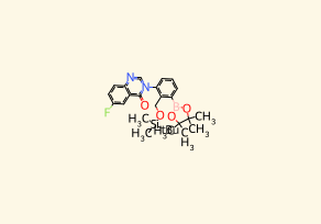 CC1(C)OB(c2cccc(-n3cnc4ccc(F)cc4c3=O)c2CO[Si](C)(C)C(C)(C)C)OC1(C)C